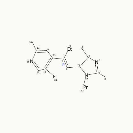 CC/C(=C\C1C(C)N=C(C)N1C(C)C)c1cc(C)ncc1F